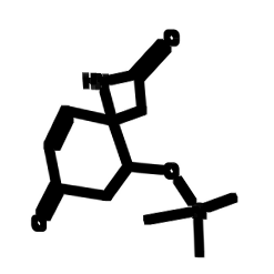 C[Si](C)(C)OC1CC(=O)C=CC12CC(=O)N2